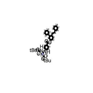 CC(C)(C)OC(=O)/N=C(/NC(=O)OC(C)(C)C)Nc1ccc(C(=O)Oc2ccc(CCc3ccccc3)c(-c3ccccc3)c2)cc1